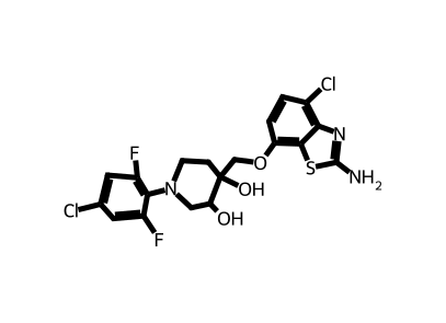 Nc1nc2c(Cl)ccc(OCC3(O)CCN(c4c(F)cc(Cl)cc4F)CC3O)c2s1